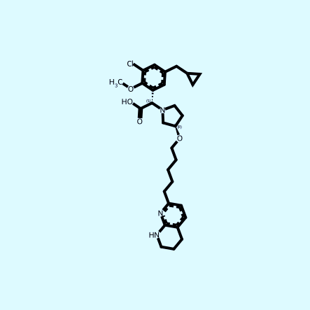 COc1c(Cl)cc(CC2CC2)cc1[C@@H](C(=O)O)N1CC[C@@H](OCCCCCc2ccc3c(n2)NCCC3)C1